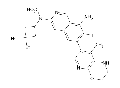 CCC1(O)CC(N(C(=O)O)c2cc3cc(-c4cnc5c(c4C)NCCO5)c(F)c(N)c3cn2)C1